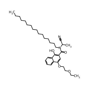 CCCCCCCCCCCCCCCCN(C(=O)c1cc(OCCOCC)c2ccccc2c1O)C(C)C#N